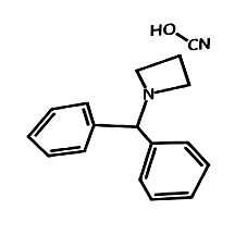 N#CO.c1ccc(C(c2ccccc2)N2CCC2)cc1